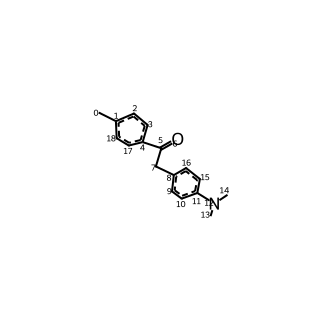 Cc1ccc(C(=O)Cc2ccc(N(C)C)cc2)cc1